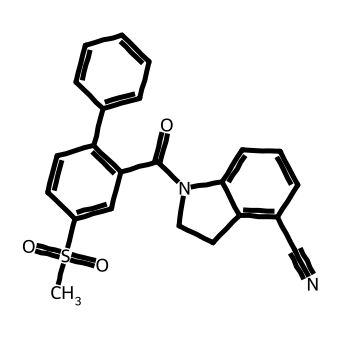 CS(=O)(=O)c1ccc(-c2ccccc2)c(C(=O)N2CCc3c(C#N)cccc32)c1